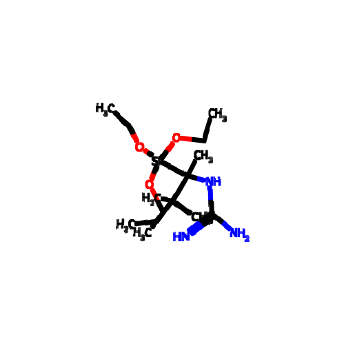 CCO[Si](OCC)(OCC)C(C)(NC(=N)N)C(C)(C)CC